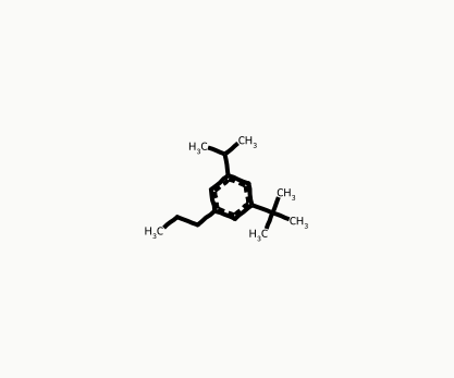 CCCc1cc([C](C)C)cc(C(C)(C)C)c1